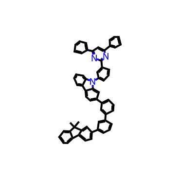 CC1(C)c2ccccc2-c2ccc(-c3cccc(-c4cccc(-c5ccc6c7ccccc7n(-c7cccc(-c8nc(-c9ccccc9)cc(-c9ccccc9)n8)c7)c6c5)c4)c3)cc21